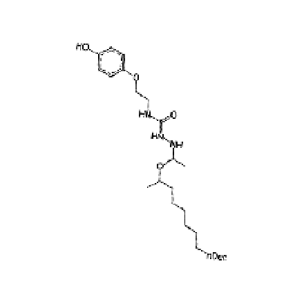 CCCCCCCCCCCCCCCCC(C)OC(C)NNC(=O)NCCOc1ccc(O)cc1